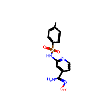 Cc1ccc(S(=O)(=O)Nc2cc(/C(N)=N/O)ccn2)cc1